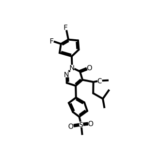 CCC(CC(C)C)c1c(-c2ccc(S(C)(=O)=O)cc2)cnn(-c2ccc(F)c(F)c2)c1=O